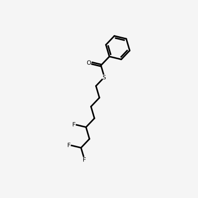 O=C(SCCCCC(F)CC(F)F)c1ccccc1